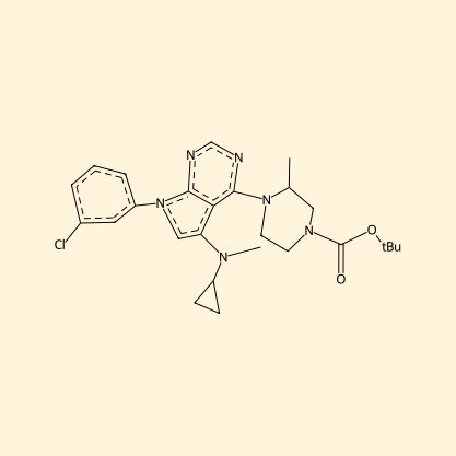 CC1CN(C(=O)OC(C)(C)C)CCN1c1ncnc2c1c(N(C)C1CC1)cn2-c1cccc(Cl)c1